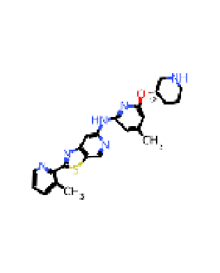 Cc1cc(Nc2cc3nc(-c4ncccc4C)sc3cn2)nc(O[C@H]2CCCNC2)c1